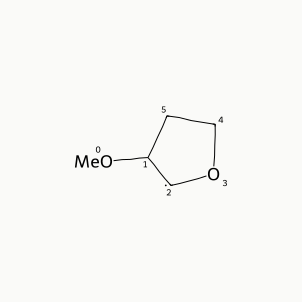 COC1[CH]OCC1